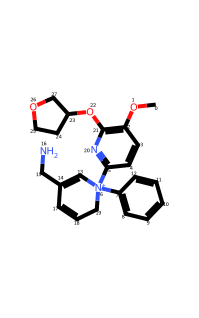 COc1ccc([N+]2(c3ccccc3)C=C(CN)C=CC2)nc1OC1CCOC1